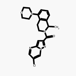 CC1c2cccc(N3CCOCC3)c2CCN1C(=O)c1cc2ncc(Cl)cn2n1